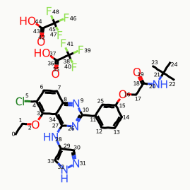 CCOc1c(Cl)ccc2nc(-c3cccc(OCC(=O)NC(C)(C)C)c3)nc(Nc3cn[nH]c3)c12.O=C(O)C(F)(F)F.O=C(O)C(F)(F)F